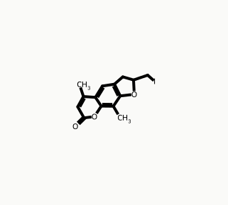 Cc1cc(=O)oc2c(C)c3c(cc12)CC(CI)O3